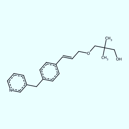 CC(C)(CO)COCC=Cc1ccc(Cc2cccnc2)cc1